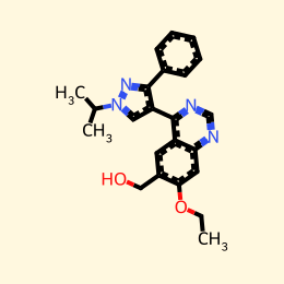 CCOc1cc2ncnc(-c3cn(C(C)C)nc3-c3ccccc3)c2cc1CO